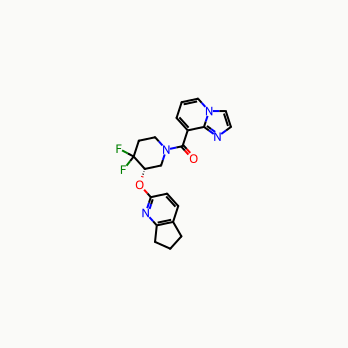 O=C(c1cccn2ccnc12)N1CCC(F)(F)[C@@H](Oc2ccc3c(n2)CCC3)C1